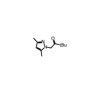 Cc1cc(C)n(CC(=O)C(C)(C)C)n1